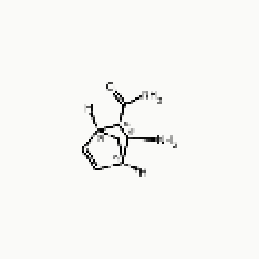 NC(=O)[C@H]1[C@@H](N)[C@@H]2C=C[C@H]1C2